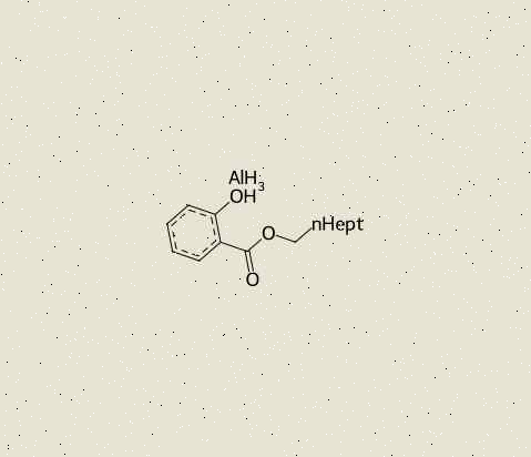 CCCCCCCCOC(=O)c1ccccc1O.[AlH3]